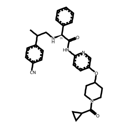 CC(CN[C@H](C(=O)Nc1ccc(OC2CCN(C(=O)C3CC3)CC2)cn1)c1ccccc1)c1ccc(C#N)cc1